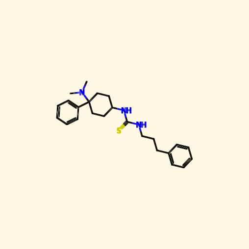 CN(C)C1(c2ccccc2)CCC(NC(=S)NCCCc2ccccc2)CC1